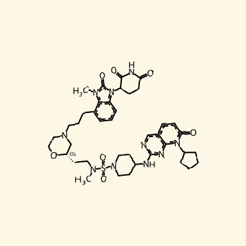 CN(CC[C@H]1CN(CCCc2cccc3c2n(C)c(=O)n3C2CCC(=O)NC2=O)CCO1)S(=O)(=O)N1CCC(Nc2ncc3ccc(=O)n(C4CCCC4)c3n2)CC1